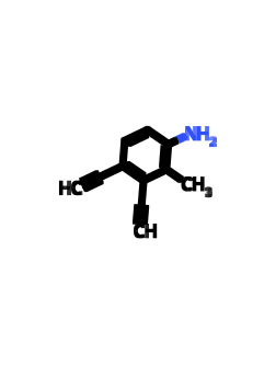 C#Cc1ccc(N)c(C)c1C#C